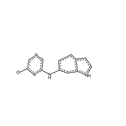 Clc1cncc(Nc2ccc3cc[nH]c3c2)n1